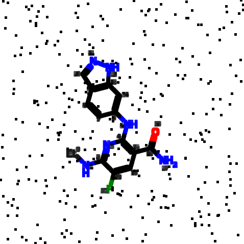 CCNc1nc(Nc2ccc3cn[nH]c3c2)c(C(N)=O)cc1F